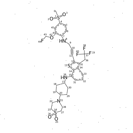 CS(=O)(=O)c1ccc(NCC#Cc2sc3c(NC4CCC(N5CCS(=O)(=O)CC5)CC4)cccc3c2CC(F)(F)F)c(OCF)c1